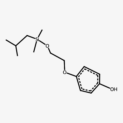 CC(C)C[Si](C)(C)OCCOc1ccc(O)cc1